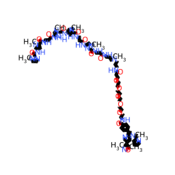 Cc1noc(C)c1C1=CC2C(N=C1)C(c1ccc(C(=O)NCCOCCOCCOCCOCCOCCC(=O)NCCCN(C)CCCNC(=O)CCNC(=O)c3nc(NC(=O)CCNC(=O)c4cc(NC(=O)c5nc(NC(=O)CCNC(=O)c6cc(NC(=O)c7nccn7C)cn6C)cn5C)cn4C)cn3C)cc1)=CN2[C@@H](C)c1ccccn1